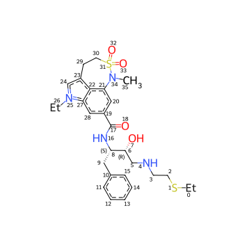 CCSCCNC[C@@H](O)[C@H](Cc1ccccc1)NC(=O)c1cc2c3c(cn(CC)c3c1)CCS(=O)(=O)N2C